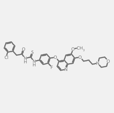 COc1cc2c(Oc3ccc(NC(=S)NC(=O)Cc4ccccc4Cl)cc3F)ccnc2cc1OCCCN1CCOCC1